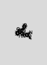 CCOc1cc2[nH]c(Cc3nn(CC(=O)N4CCOCC4)c(=O)c4ccccc34)nc2cc1C#N